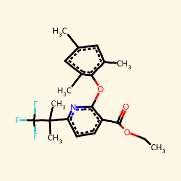 CCOC(=O)c1ccc(C(C)(C)C(F)(F)F)nc1Oc1c(C)cc(C)cc1C